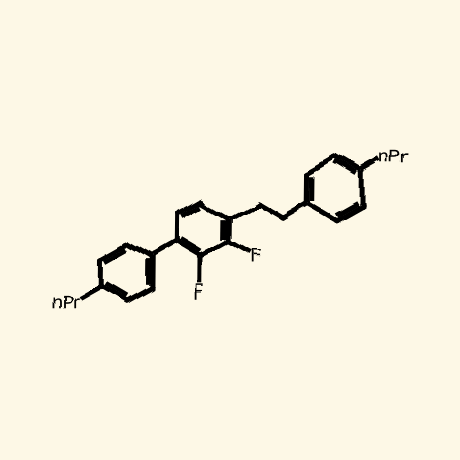 CCCc1ccc(CCc2ccc(-c3ccc(CCC)cc3)c(F)c2F)cc1